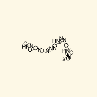 Cc1cc(-c2ncnc3[nH]c(-c4ccc(N5CCN(CC6CCN(c7ccc(N8CCC(=O)NC8=O)c(C)c7)CC6)CC5)nc4)cc23)ccc1[C@@H](C)NC(=O)c1noc(C2(C)CC2)n1